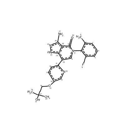 Cc1cccc(F)c1-n1cc(-c2ccc(OCC(C)(C)O)cn2)c2[nH]nc(N)c2c1=O